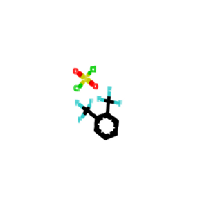 FC(F)(F)c1ccccc1C(F)(F)F.O=S(=O)(Cl)Cl